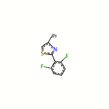 CC(C)c1csc(-c2c(F)cccc2F)n1